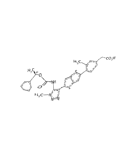 Cc1cc(CC(=O)O)ccc1-c1cc2sc(-c3nnn(C)c3NC(=O)O[C@H](C)c3ccccc3)cc2s1